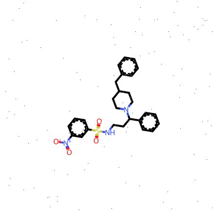 O=[N+]([O-])c1cccc(S(=O)(=O)NCCC(c2ccccc2)N2CCC(Cc3ccccc3)CC2)c1